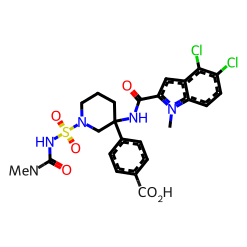 CNC(=O)NS(=O)(=O)N1CCCC(NC(=O)c2cc3c(Cl)c(Cl)ccc3n2C)(c2ccc(C(=O)O)cc2)C1